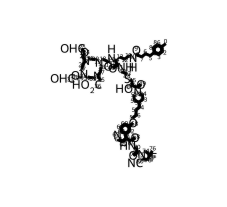 Cc1ccc(CCCC(=O)NCCC[C@H](NC(=O)CN2CCN(COC=O)CCN(COC=O)CCN(CC(=O)O)CC2)C(=O)NCCSC[C@@H](O)C(=O)N2CCC(CCCCOc3ccc4nccc(C(=O)NCC(=O)N5CC(C)(F)C[C@@H]5C#N)c4c3)CC2)cc1